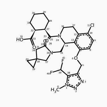 Cn1nnc(COc2ccc(Cl)c3c2[C@@H](CN2CC4(CC4)CC2=O)N(C(=O)[C@@H]2CCCC[C@@H]2C(=O)O)CC3)c1C(F)F